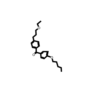 CCCCCOc1ccc(C(=O)c2ccc(CCCOCC)cc2)cc1